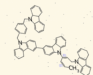 C/C=C\C(=C/Cn1c2c(c3c1=CCCC=3)CCC=C2)n1c2ccccc2c2cc(-c3ccc4c(c3)c3c(n4Cc4ccc(CN5c6ccccc6C6C=CC=CC65)cc4)C=CCC3)ccc21